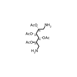 CC(=O)O[C@@H]([C@H](OC(C)=O)[C@@H](CN)OC(C)=O)[C@@H](CN)OC(C)=O